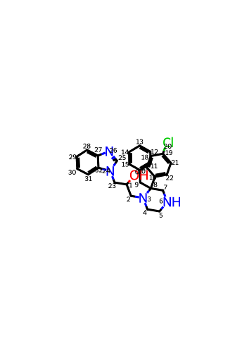 OC(CN1CCNCC1(Cc1ccccc1)c1ccc(Cl)cc1)Cn1cnc2ccccc21